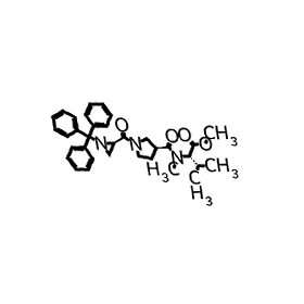 COC(=O)[C@H](C(C)C)N(C)C(=O)[C@H]1CCN(C(=O)[C@H]2CN2C(c2ccccc2)(c2ccccc2)c2ccccc2)C1